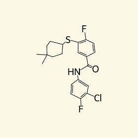 CC1(C)CCC(Sc2cc(C(=O)Nc3ccc(F)c(Cl)c3)ccc2F)CC1